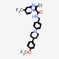 CCc1nc2cc(C(F)(F)F)ccn2c1C(=O)NCc1ccc(N2CCC(c3ccc(OC(F)(F)F)cc3)CC2)cc1